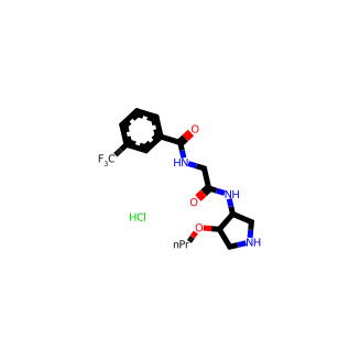 CCCOC1CNCC1NC(=O)CNC(=O)c1cccc(C(F)(F)F)c1.Cl